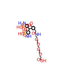 N=c1ccc2c(-c3cc(CC(=O)NCCOCCOCCOCCOCCC(=O)O)ccc3C(=O)O)c3ccc(N)c(S(=O)(=O)O)c3oc-2c1S(=O)(=O)O